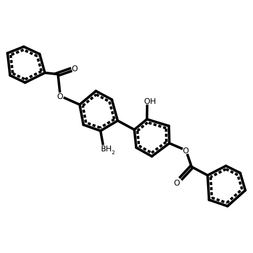 Bc1cc(OC(=O)c2ccccc2)ccc1-c1ccc(OC(=O)c2ccccc2)cc1O